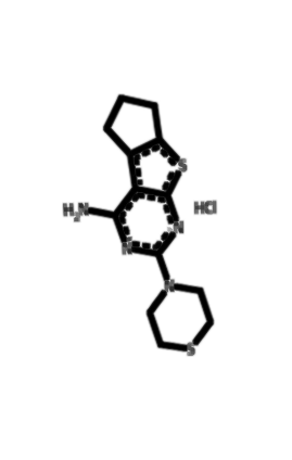 Cl.Nc1nc(N2CCSCC2)nc2sc3c(c12)CCC3